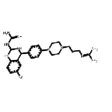 N=C(N)NC1Nc2ccc(Cl)cc2C(c2ccc(N3CCN(CCCN=C(N)N)CC3)cc2)N1